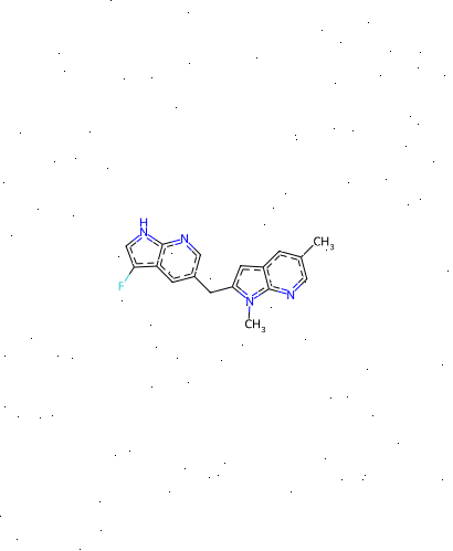 Cc1cnc2c(c1)cc(Cc1cnc3[nH]cc(F)c3c1)n2C